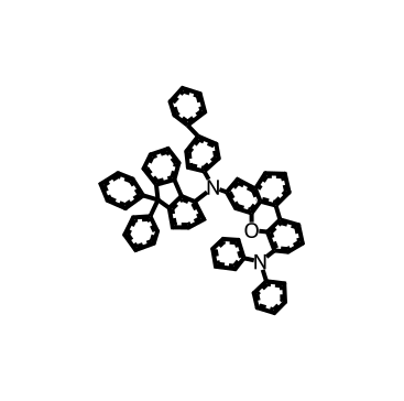 c1ccc(-c2ccc(N(c3cc4c5c(cccc5c3)-c3cccc(N(c5ccccc5)c5ccccc5)c3O4)c3cccc4c3-c3ccccc3C4(c3ccccc3)c3ccccc3)cc2)cc1